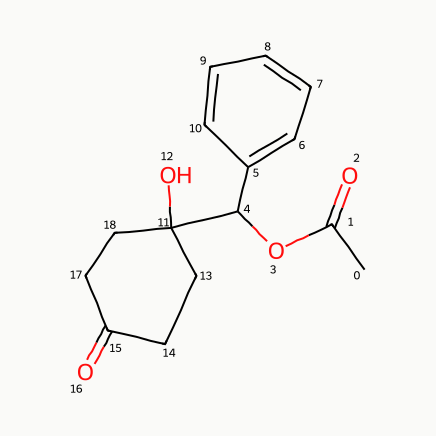 CC(=O)OC(c1ccccc1)C1(O)CCC(=O)CC1